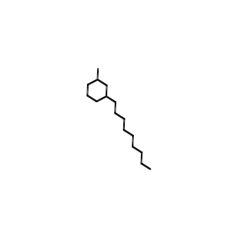 CCCCCCCCCC1CCCC(C)C1